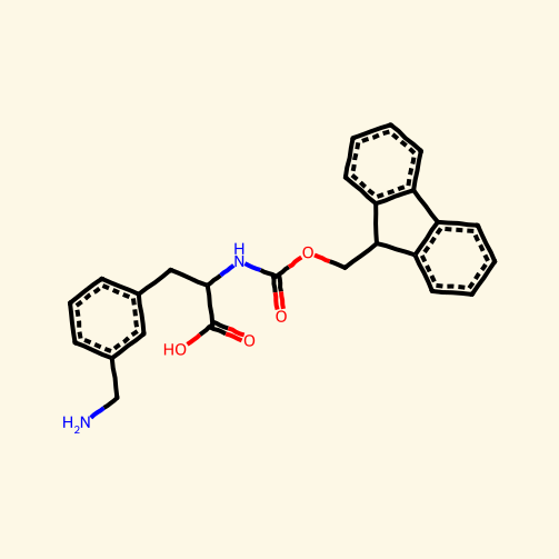 NCc1cccc(CC(NC(=O)OCC2c3ccccc3-c3ccccc32)C(=O)O)c1